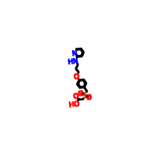 O=C(O)CS(=O)(=O)Cc1ccc(OCCCNc2ccccn2)cc1